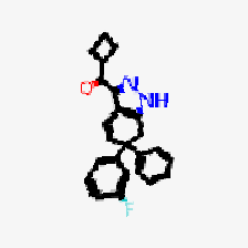 O=C(c1n[nH]c2c1C=CC(c1ccccc1)(c1cccc(F)c1)C2)C1CCC1